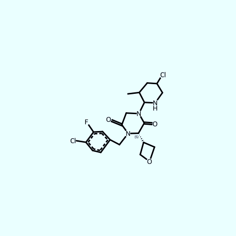 CC1CC(Cl)CNC1N1CC(=O)N(Cc2ccc(Cl)c(F)c2)[C@@H](C2COC2)C1=O